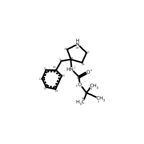 CC(C)(C)OC(=O)NC1(Cc2ccccc2)CCNC1